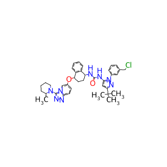 C[C@H]1CCCCN1c1nnc2ccc(O[C@@H]3CC[C@H](NC(=O)Nc4cc(C(C)(C)C)nn4-c4cccc(CCl)c4)c4ccccc43)cn12